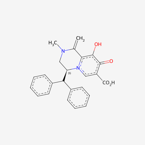 C=C1c2c(O)c(=O)c(C(=O)O)cn2[C@@H](C(c2ccccc2)c2ccccc2)CN1C